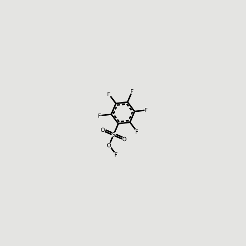 O=S(=O)(OF)c1c(F)c(F)c(F)c(F)c1F